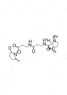 [2H]C1([2H])CCN(C(C)C)C1([2H])C(=O)NCCC(=O)NCCC(=O)ON1C(=C)CCC1=O